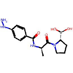 C[C@@H](NC(=O)c1ccc(NN)cc1)C(=O)N1CCC[C@H]1B(O)O